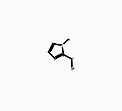 Cn1cccc1CS